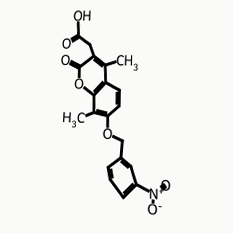 Cc1c(CC(=O)O)c(=O)oc2c(C)c(OCc3cccc([N+](=O)[O-])c3)ccc12